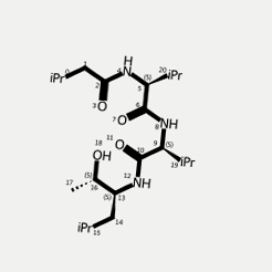 CC(C)CC(=O)N[C@H](C(=O)N[C@H](C(=O)N[C@@H](CC(C)C)[C@H](C)O)C(C)C)C(C)C